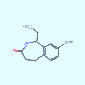 COc1ccc2c(c1)C(CC(=O)O)NC(=O)CC2